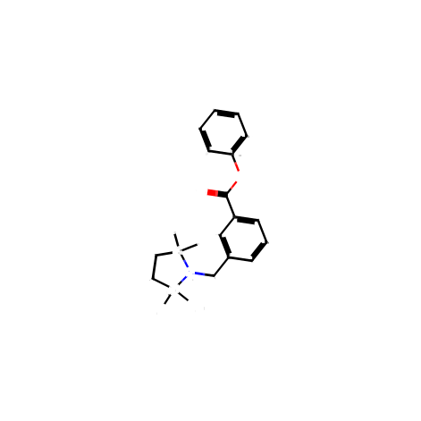 C[Si]1(C)CC[Si](C)(C)N1Cc1cccc(C(=O)Oc2ccccc2)c1